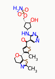 Cc1nc2c(s1)[C@@H](c1cc(C(=O)c3cncnc3N[C@@H]3C[C@H](COS(N)(=O)=O)[C@@H](O)C3)sc1C)OCC2